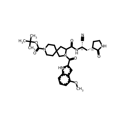 COc1cccc2[nH]c(C(=O)N3CC4(CCN(C(=O)OC(C)(C)C)CC4)CC3C(=O)N[C@H](C#N)C[C@@H]3CCNC3=O)cc12